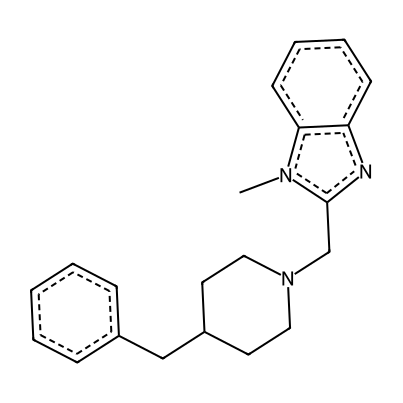 Cn1c(CN2CCC(Cc3ccccc3)CC2)nc2ccccc21